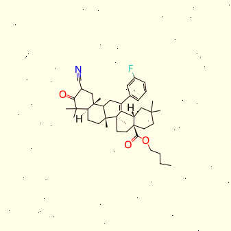 CCCCOC(=O)[C@]12CCC(C)(C)C[C@H]1C1=C(c3cccc(F)c3)CC3[C@@]4(C)CC(C#N)C(=O)C(C)(C)[C@@H]4CC[C@@]3(C)[C@]1(C)CC2